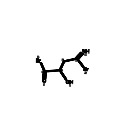 N=C(Br)CC(O)C(=O)Br